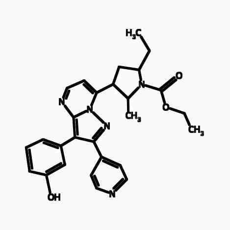 CCOC(=O)N1C(CC)CC(c2ccnc3c(-c4cccc(O)c4)c(-c4ccncc4)nn23)C1C